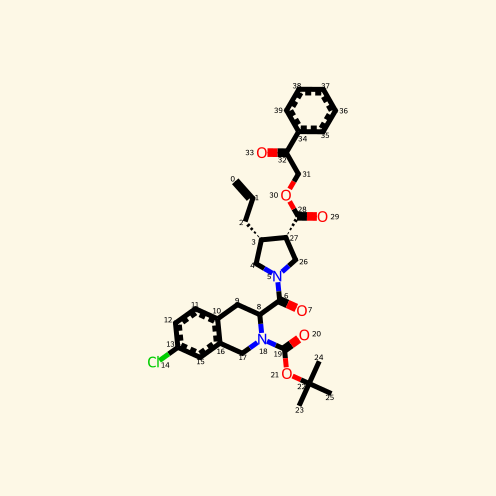 C=CC[C@H]1CN(C(=O)C2Cc3ccc(Cl)cc3CN2C(=O)OC(C)(C)C)C[C@H]1C(=O)OCC(=O)c1ccccc1